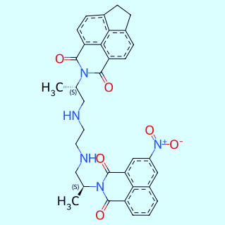 C[C@@H](CNCCNC[C@H](C)N1C(=O)c2ccc3c4c(ccc(c24)C1=O)CC3)N1C(=O)c2cccc3cc([N+](=O)[O-])cc(c23)C1=O